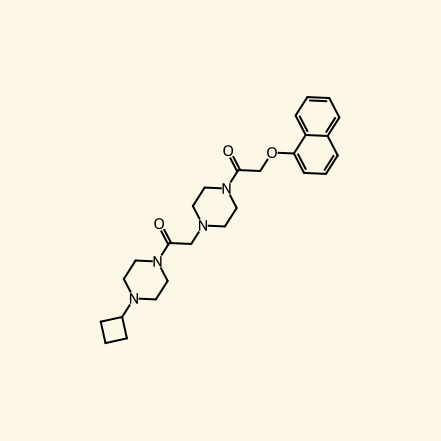 O=C(COc1cccc2ccccc12)N1CCN(CC(=O)N2CCN(C3CCC3)CC2)CC1